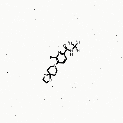 [2H]C([2H])([2H])NC(=O)c1ccc(N2CCC3(CC2)OCCO3)c(F)n1